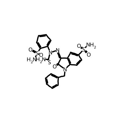 NC(=S)N(/N=C1\C(=O)N(Cc2ccccc2)c2ccc(S(N)(=O)=O)cc21)c1ccccc1S(N)(=O)=O